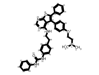 CN(C)CCOc1ccc(-c2c(-c3ccccc3)oc3ncnc(NCCc4ccc(NC(=O)Nc5ccccc5)cc4)c23)cc1